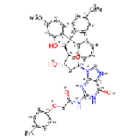 COc1ccc(C(c2ccccc2)(c2ccc(OC)cc2)C(O)[C@H]2O[C@@H](n3cnc4c(=O)[nH]c(NC(=O)COc5ccc(C(C)C)cc5)nc43)C[C@@H]2O)cc1